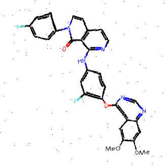 COc1cc2ncnc(Oc3ccc(Nc4nccc5ccn(-c6ccc(F)cc6)c(=O)c45)cc3F)c2cc1OC